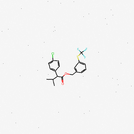 CC(C)C(C(=O)OCc1cccc(SC(F)(F)F)c1)c1ccc(Cl)cc1